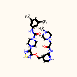 CN1CCN(CC(=O)Nc2cc(COc3nsnc3N3CCN(C(=O)Nc4cc(C(F)(F)F)cc(C(F)(F)F)c4)CC3)ccn2)CC1